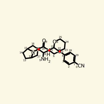 N#Cc1ccc(OCCC(N)CN2C3CCC2CN(C(=O)NC2CCCCO2)C3)cc1